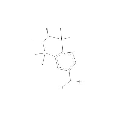 C[C@@H]1[C@@H](C)C(C)(C)c2cc(C(Br)Br)ccc2C1(C)C